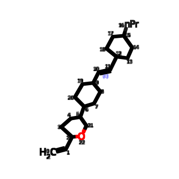 C=CC1CCC(C2CCC(/C=C/C3CCC(CCC)CC3)CC2)CO1